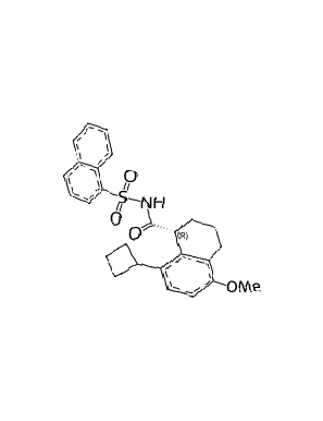 COc1ccc(C2CCC2)c2c1CCC[C@H]2C(=O)NS(=O)(=O)c1cccc2ccccc12